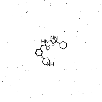 O=C(Cc1cccc(C2CCNCC2)c1)Nc1nnc(C2CCCCC2)s1